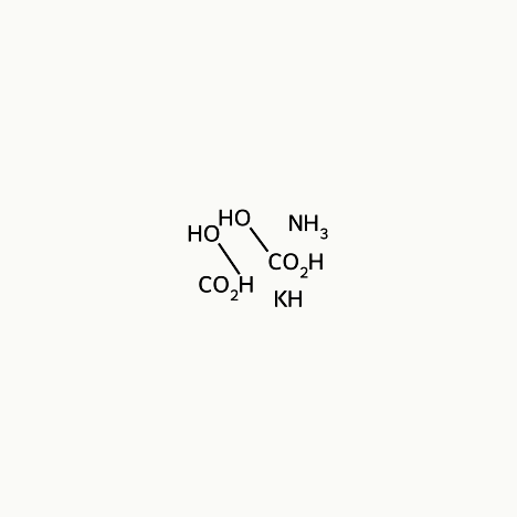 N.O=C(O)O.O=C(O)O.[KH]